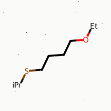 CCOCCCCSC(C)C